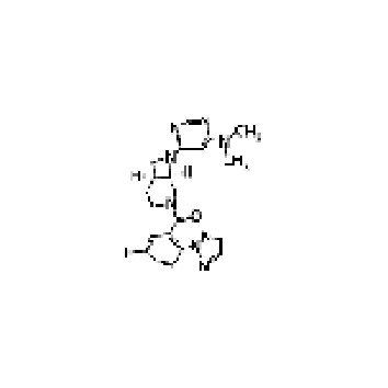 CN(C)c1cc(N2C[C@@H]3CCN(C(=O)c4cc(F)ccc4-n4nccn4)C[C@@H]32)ncn1